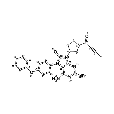 CC#CC(=O)N1CCC(n2c(=O)n(-c3ccc(Oc4ccccc4)cc3)c3c(N)nc(C(C)C)nc32)C1